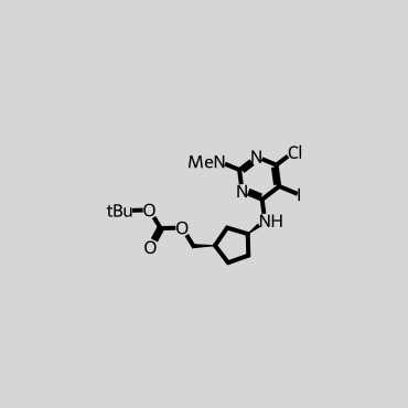 CNc1nc(Cl)c(I)c(N[C@H]2CC[C@@H](COC(=O)OC(C)(C)C)C2)n1